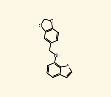 c1cc(NCc2ccc3c(c2)OCO3)c2sccc2c1